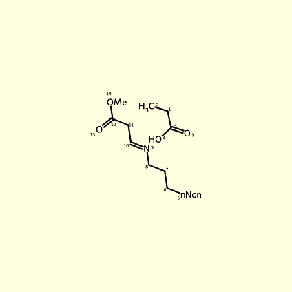 CCC(=O)O.CCCCCCCCCCCCN=CCC(=O)OC